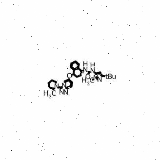 CC1CCCCN1c1nnc2ccc(O[C@@H]3CC[C@H](NC(=O)Nc4cc(C(C)(C)C)nn4C)c4ccccc43)cn12